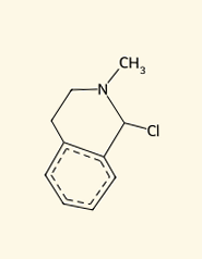 CN1CCc2ccccc2C1Cl